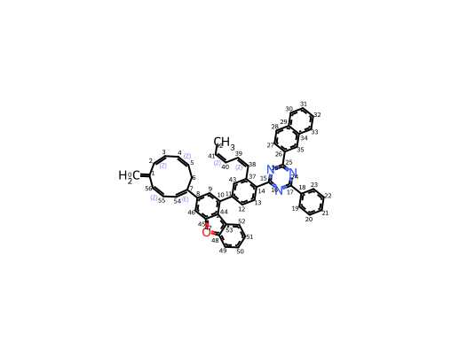 C=C1/C=C\C=C/C/C(c2cc(-c3ccc(-c4nc(-c5ccccc5)nc(-c5ccc6ccccc6c5)n4)c(/C=C\C=C/C)c3)c3c(c2)oc2ccccc23)=C\C=C/1